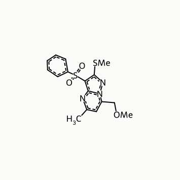 COCc1cc(C)nc2c(S(=O)(=O)c3ccccc3)c(SC)nn12